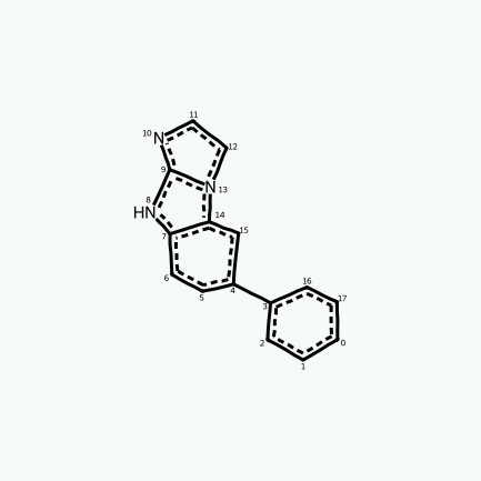 c1ccc(-c2ccc3[nH]c4nccn4c3c2)cc1